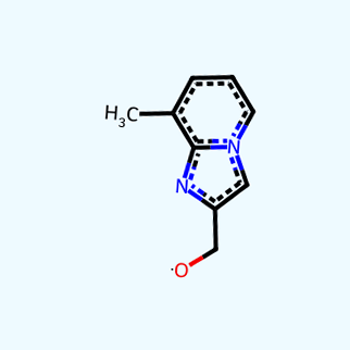 Cc1cccn2cc(C[O])nc12